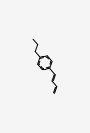 C=C/C=C/c1ccc(CCC)cc1